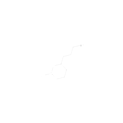 CC(C)CCCC1CC[CH2][Al]([CH3])[O]1